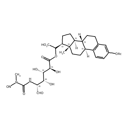 CC(=O)Oc1ccc2c(c1)CC[C@@H]1[C@@H]2CC[C@]2(C)[C@@H](C(OC(=O)[C@@H](O)[C@@H](O)[C@H](O)[C@H](C=O)NC(=O)N(C)N=O)C(=O)O)CC[C@@H]12